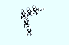 [O-]CC(F)(F)F.[O-]CC(F)(F)F.[O-]CC(F)(F)F.[O-]CC(F)(F)F.[O-]CC(F)(F)F.[Ta+5]